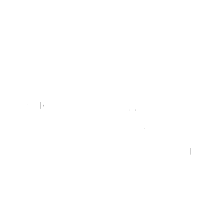 C=CC(=O)Oc1ccc(C=O)cc1O